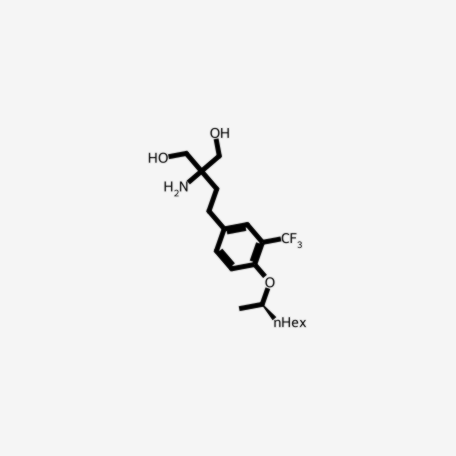 CCCCCC[C@@H](C)Oc1ccc(CCC(N)(CO)CO)cc1C(F)(F)F